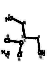 ClOCl.OCCCO.S